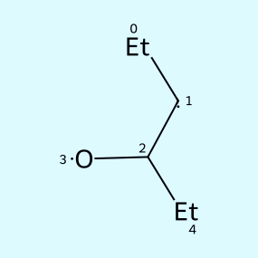 CC[CH]C([O])CC